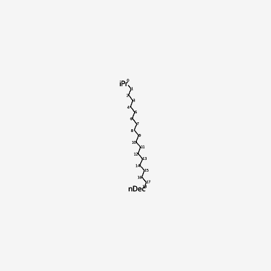 [CH2]C(C)CCCCCCCCCCCCCCCCCCCCCCCCCCC